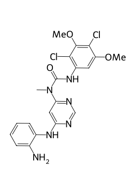 COc1cc(NC(=O)N(C)c2cc(Nc3ccccc3N)ncn2)c(Cl)c(OC)c1Cl